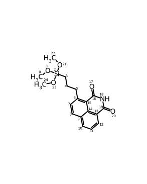 CO[Si](CCCc1ccc2cccc3c2c1C(=O)NC3=O)(OC)OC